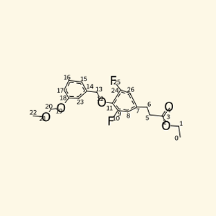 CCOC(=O)CCc1cc(F)c(OCc2cccc(OCOC)c2)c(F)c1